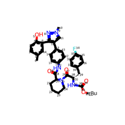 Cc1ccc(O)c(-c2nn(C)cc2-c2ccc(NC(=O)C3CCCCN3C(=O)[C@H](Cc3ccc(F)cc3)NC(=O)OC(C)(C)C)cc2)c1